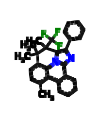 Cc1ccc2c3c1c1ccccc1c1nc(-c4ccccc4)c(n13)C(C)(C(F)(F)F)C2(C)C